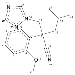 COc1ccccc1C(C#N)(CC(C)C)Cn1cncn1